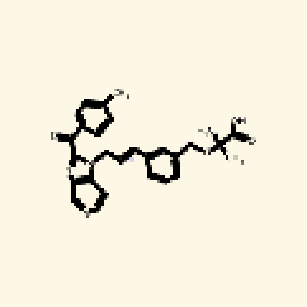 Cc1ccc(C(=O)c2nc3cnccc3n2C/C=C/c2cccc(COC(C)(C)C(=O)O)c2)cc1